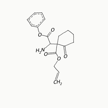 C=CCOC(=O)C1(C(N)C(=O)Oc2ccccc2)CCCCC1=O